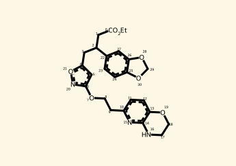 CCOC(=O)CC(Cc1cc(OCCc2ccc3c(n2)NCCO3)no1)c1ccc2c(c1)OCO2